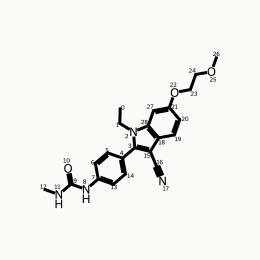 CCn1c(-c2ccc(NC(=O)NC)cc2)c(C#N)c2ccc(OCCOC)cc21